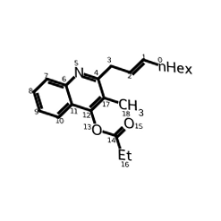 CCCCCCC=CCc1nc2ccccc2c(OC(=O)CC)c1C